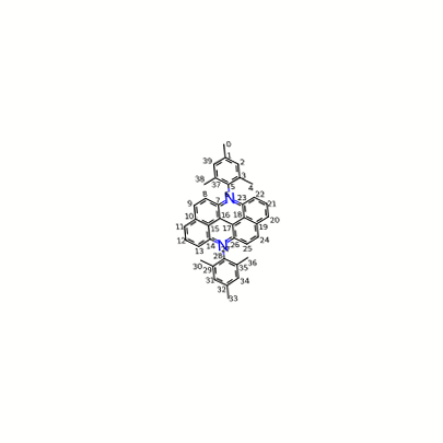 Cc1cc(C)c(-n2c3ccc4cccc5c4c3-c3c4c(cccc42)ccc3n5-c2c(C)cc(C)cc2C)c(C)c1